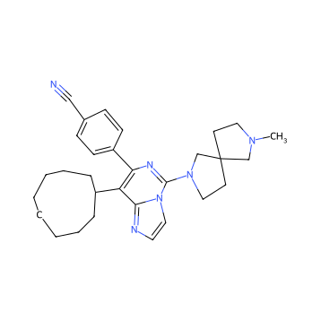 CN1CCC2(CCN(c3nc(-c4ccc(C#N)cc4)c(C4CCCCCCCC4)c4nccn34)C2)C1